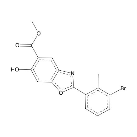 COC(=O)c1cc2nc(-c3cccc(Br)c3C)oc2cc1O